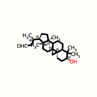 C[C@H](CC=O)[C@H]1CC[C@@]2(C)C3CCC4C(C)(C)[C@@H](O)CC[C@@]45C[C@@]35CC[C@]12C